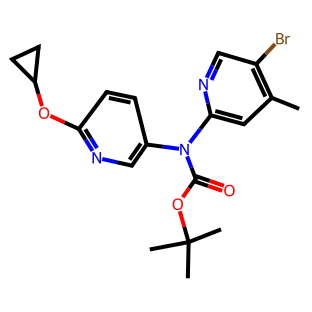 Cc1cc(N(C(=O)OC(C)(C)C)c2ccc(OC3CC3)nc2)ncc1Br